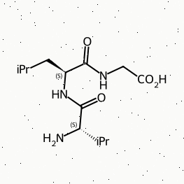 CC(C)C[C@H](NC(=O)[C@@H](N)C(C)C)C(=O)NCC(=O)O